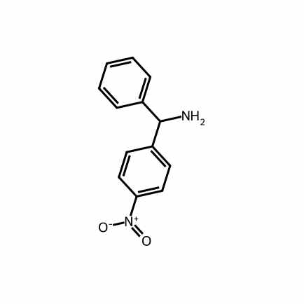 NC(c1ccccc1)c1ccc([N+](=O)[O-])cc1